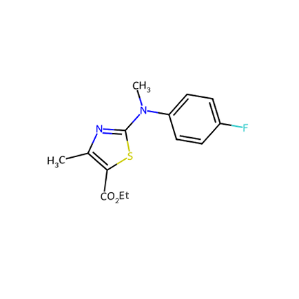 CCOC(=O)c1sc(N(C)c2ccc(F)cc2)nc1C